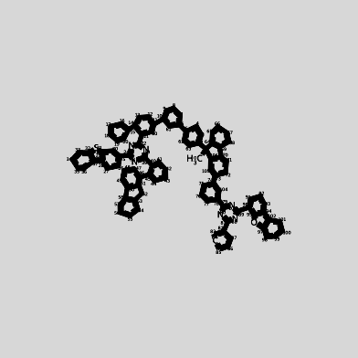 CC1(c2ccc(-c3cccc(-c4ccc(-c5ccccc5)c(-c5nc(-c6ccc7c(c6)sc6ccccc67)nc(-c6ccccc6-c6cccc7c6Cc6ccccc6-7)n5)c4)c3)cc2)c2ccccc2-c2ccc(-c3cccc(-c4nc(-c5ccccc5)nc(-c5cccc6c5oc5ccccc56)n4)c3)cc21